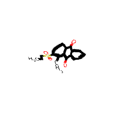 C=CCS(=O)(=O)c1ccc2c(c1C)C(=O)c1ccccc1C2=O